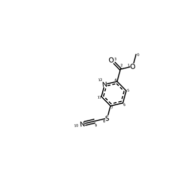 COC(=O)c1ccc(SC#N)cn1